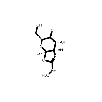 CNC1=N[C@H]2[C@@H](O1)S[C@@H](CO)C(O)[C@@H]2O